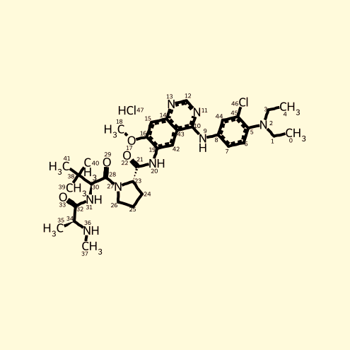 CCN(CC)c1ccc(Nc2ncnc3cc(OC)c(NC(=O)[C@@H]4CCCN4C(=O)[C@@H](NC(=O)[C@H](C)NC)C(C)(C)C)cc23)cc1Cl.Cl